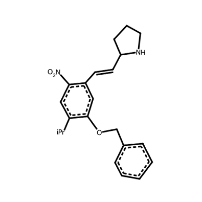 CC(C)c1cc([N+](=O)[O-])c(C=CC2CCCN2)cc1OCc1ccccc1